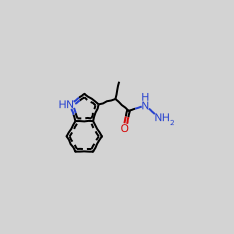 CC(C(=O)NN)c1c[nH]c2ccccc12